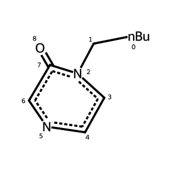 CCCCCn1ccncc1=O